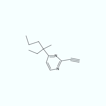 C#Cc1nccc(C(C)(CC)CCC)n1